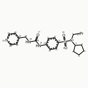 CC(C)CN(C1CCCC1)S(=O)(=O)c1ccc(NC(=O)NCc2ccncc2)cc1